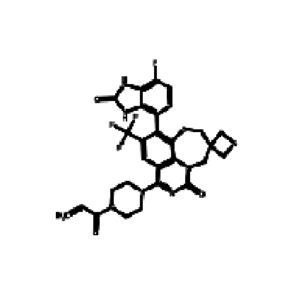 C=CC(=O)N1CCN(c2nc(=O)n3c4c(c(-c5ccc(F)c6[nH]c(=O)[nH]c56)c(C(F)(F)F)cc24)SCC2(CSC2)C3)CC1